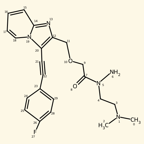 CN(C)CCN(N)C(=O)COCc1nc2ccccn2c1C#Cc1ccc(F)cc1